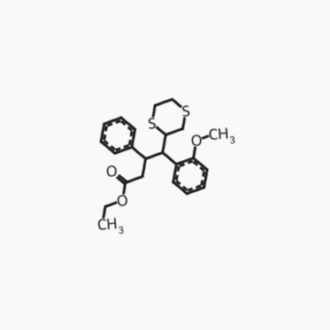 CCOC(=O)CC(c1ccccc1)C(c1ccccc1OC)C1CSCCS1